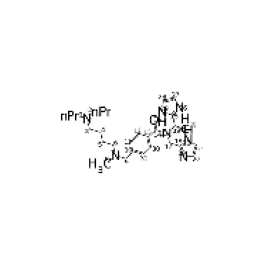 CCCN(CCC)CCCCN(C)Cc1ccc(C(=O)N(Cc2ncc[nH]2)C(C)c2ncc[nH]2)cc1